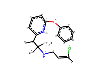 CC(Cl)=CCNC(C(=O)O)(C(C)C)C(C)c1cccc(Oc2ccccc2)n1